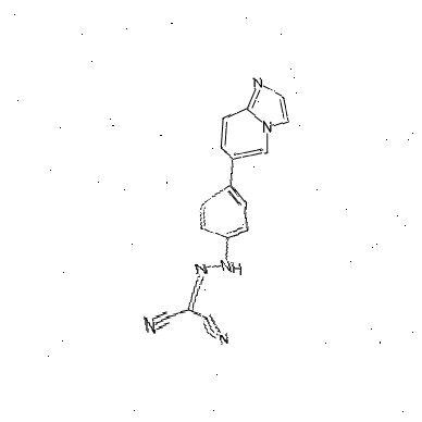 N#CC(C#N)=NNc1ccc(-c2ccc3nccn3c2)cc1